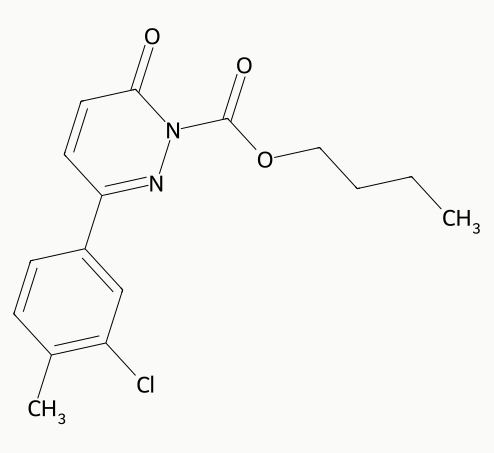 CCCCOC(=O)n1nc(-c2ccc(C)c(Cl)c2)ccc1=O